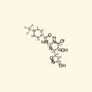 CC(C)(C)c1ccc(C(=O)Nc2nc(-c3cc(O)no3)c(O)c(=O)[nH]2)cc1